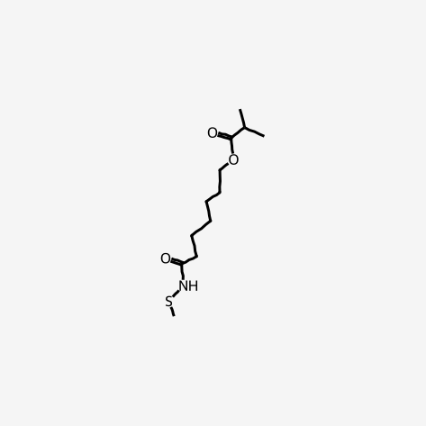 CSNC(=O)CCCCCCOC(=O)C(C)C